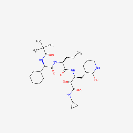 CCC[C@H](NC(=O)[C@H](NC(=O)C(C)(C)C)C1CCCCC1)C(=O)N[C@@H](C[C@@H]1CCCNC1O)C(=O)C(=O)NC1CC1